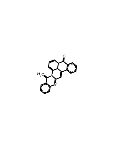 C=C1c2ccccc2N=C2C=C3c4ccccc4C(=O)C4C=CC=C(C34)N12